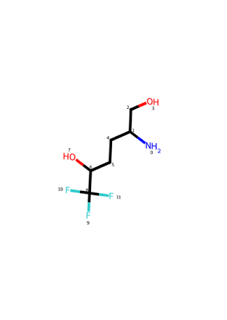 NC(CO)CCC(O)C(F)(F)F